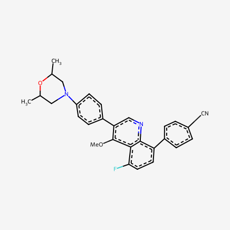 COc1c(-c2ccc(N3CC(C)OC(C)C3)cc2)cnc2c(-c3ccc(C#N)cc3)ccc(F)c12